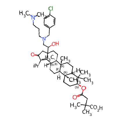 CC(C)C1=C2[C@H]3CC[C@@H]4[C@@]5(C)CC[C@H](OC(=O)CC(C)(C)C(=O)O)C(C)(C)[C@@H]5CC[C@@]4(C)[C@]3(C)CCC2(C(O)CN(CCCN(C)C)Cc2ccc(Cl)cc2)CC1=O